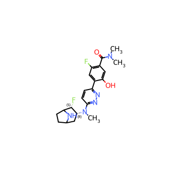 CN(C)C(=O)c1cc(O)c(-c2ccc(N(C)[C@@H]3CC4CCC(N4)[C@@H]3F)nn2)cc1F